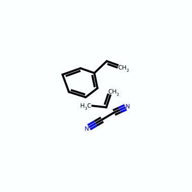 C=CC.C=Cc1ccccc1.N#CC#N